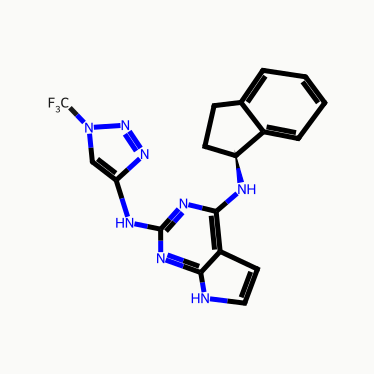 FC(F)(F)n1cc(Nc2nc(N[C@H]3CCc4ccccc43)c3cc[nH]c3n2)nn1